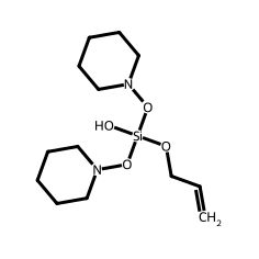 C=CCO[Si](O)(ON1CCCCC1)ON1CCCCC1